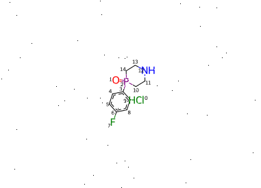 Cl.O=P1(c2ccc(F)cc2)CCNCC1